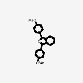 COc1ccc(-c2oc(-c3ccc(OC)cc3)c3ccccc23)cc1